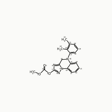 COC(=O)Oc1nc2n(n1)-c1ccccc1N(c1cccc(C)c1C)C2